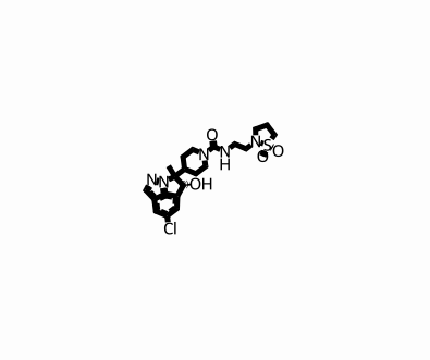 CC1(C2CCN(C(=O)NCCN3CCCS3(=O)=O)CC2)[C@H](O)c2cc(Cl)cc3cnn1c23